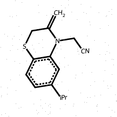 C=C1CSc2ccc(C(C)C)cc2N1CC#N